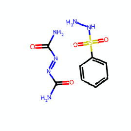 NC(=O)/N=N/C(N)=O.NNS(=O)(=O)c1ccccc1